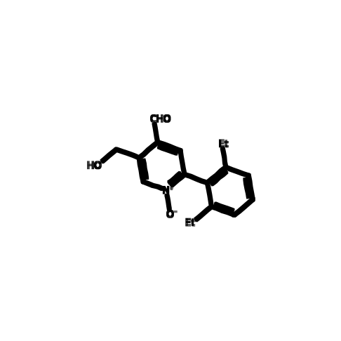 CCc1cccc(CC)c1-c1cc(C=O)c(CO)c[n+]1[O-]